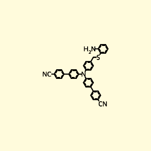 N#Cc1ccc(-c2ccc(N(c3ccc(CSc4ccccc4N)cc3)c3ccc(-c4ccc(C#N)cc4)cc3)cc2)cc1